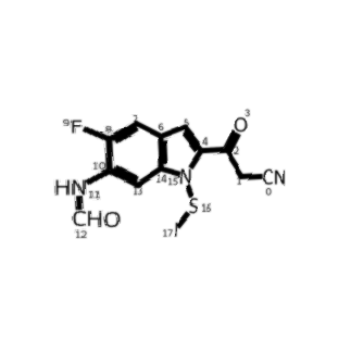 N#CCC(=O)c1cc2cc(F)c(NC=O)cc2n1SI